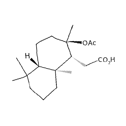 CC(=O)O[C@]1(C)CC[C@H]2C(C)(C)CCC[C@]2(C)[C@H]1CC(=O)O